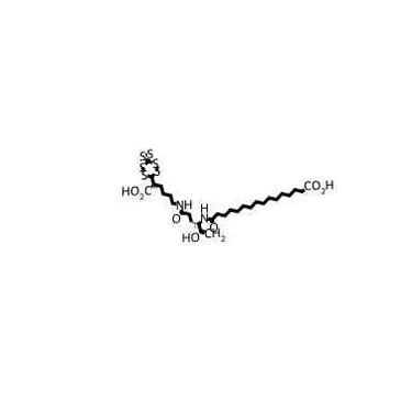 C=C(O)[C@H](CCC(=O)NCCCC[C@@H](C(=O)O)C1SSC2(SS1)SS2)NC(=O)CCCCCCCCCCCCCCC(=O)O